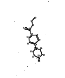 CCCC(=O)c1ccc(N2CCNCC2)cc1